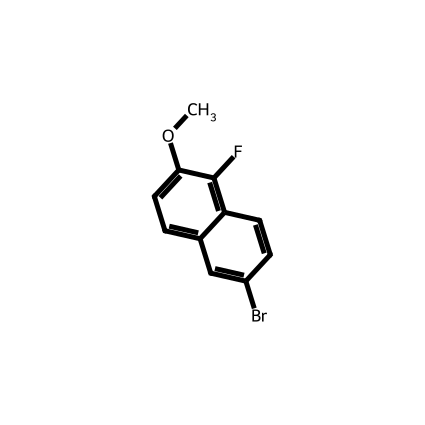 COc1ccc2cc(Br)ccc2c1F